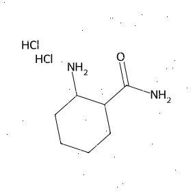 Cl.Cl.NC(=O)C1CCCCC1N